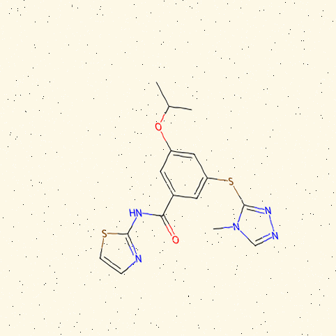 CC(C)Oc1cc(Sc2nncn2C)cc(C(=O)Nc2nccs2)c1